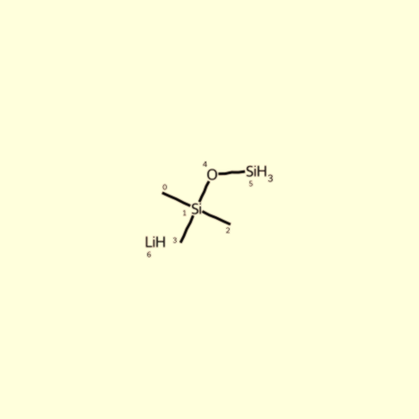 C[Si](C)(C)O[SiH3].[LiH]